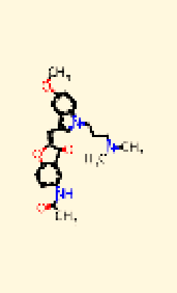 COc1ccc2c(c1)c(C=C1Oc3ccc(NC(C)=O)cc3C1=O)cn2CCCN(C)C